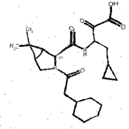 CC1(C)C2CN(C(=O)CC3CCCCC3)[C@H](C(=O)NC(CC3CC3)C(=O)C(=O)O)C21